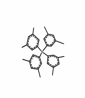 Cc1cc(C)cc([B-](c2cc(C)cc(C)c2)(c2cc(C)cc(C)c2)c2cc(C)cc(C)c2)c1